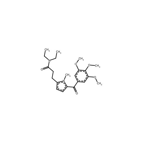 CCN(CC)C(=O)CCc1ccc(C(=O)c2cc(OC)c(OC)c(OC)c2)n1C